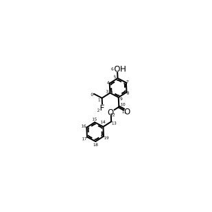 CC(F)c1cc(O)ccc1C(=O)OCc1ccccc1